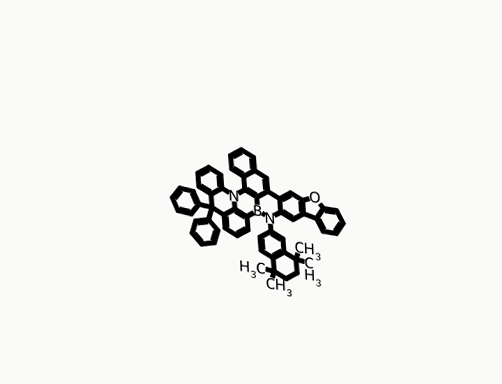 CC1(C)CCC(C)(C)c2cc(N3B4c5cccc6c5N(c5ccccc5C6(c5ccccc5)c5ccccc5)c5c4c(cc4ccccc54)-c4cc5oc6ccccc6c5cc43)ccc21